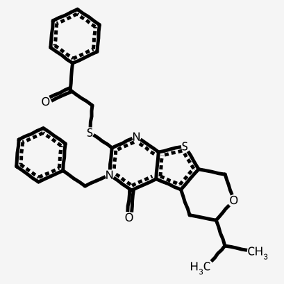 CC(C)C1Cc2c(sc3nc(SCC(=O)c4ccccc4)n(Cc4ccccc4)c(=O)c23)CO1